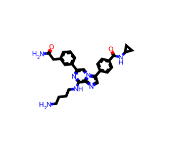 NCCCCNc1nc(-c2cccc(CC(N)=O)c2)cn2c(-c3ccc(C(=O)NC4CC4)cc3)cnc12